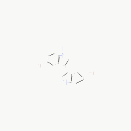 Brc1ccc2[nH]cc(-c3c[nH]c4ccc(Br)cc34)c2c1